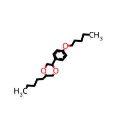 CCCCCOc1ccc(C2COC(CCCCC)CO2)cc1